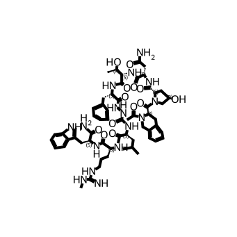 CNC(=N)NCCC[C@H](NC(=O)[C@H](CC(C)C)NC(=O)NNC(=O)[C@H](Cc1ccccc1)NC(=O)[C@@H](NC(=O)[C@H](CC(N)=O)NC(=O)[C@@H]1C[C@@H](O)CN1C(=O)[C@H]1Cc2ccccc2CN1C(C)=O)[C@@H](C)O)C(=O)N[C@@H](Cc1c[nH]c2ccccc12)C(N)=O